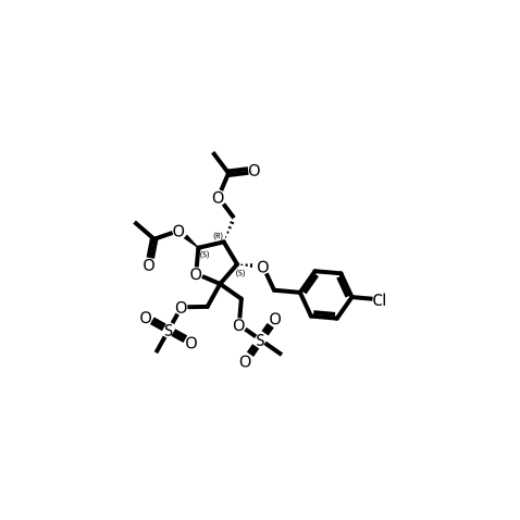 CC(=O)OC[C@H]1[C@H](OC(C)=O)OC(COS(C)(=O)=O)(COS(C)(=O)=O)[C@H]1OCc1ccc(Cl)cc1